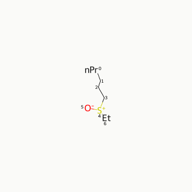 CCCCCC[S+]([O-])CC